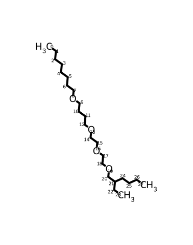 CCCCCCCCOCCCCOCCOCCOCC(CC)CCCC